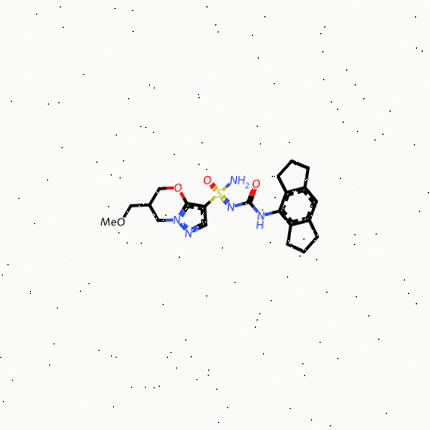 COCC1COc2c(S(N)(=O)=NC(=O)Nc3c4c(cc5c3CCC5)CCC4)cnn2C1